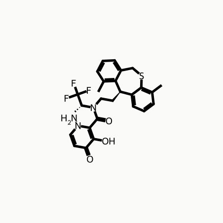 Cc1cccc2c1SCc1cccc(C)c1[C@@H]2CCN(C(=O)c1c(O)c(=O)ccn1N)[C@H](C)C(F)(F)F